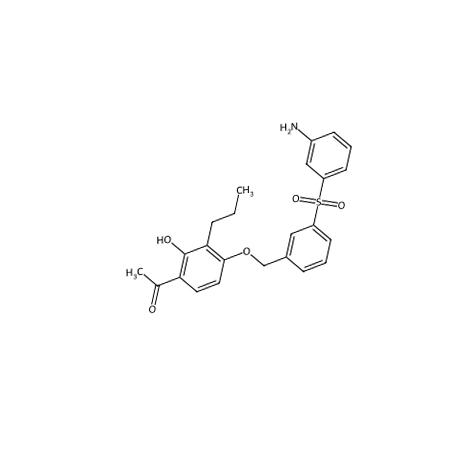 CCCc1c(OCc2cccc(S(=O)(=O)c3cccc(N)c3)c2)ccc(C(C)=O)c1O